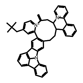 C=C1CC2C(CCc3cc4c(cc3-c3cc(CC(C)(C)C)cc[n+]31)c1cccc3c5ccccc5n4c31)c1ccccc1-c1cccc[n+]12